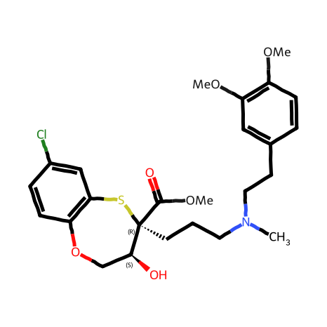 COC(=O)[C@]1(CCCN(C)CCc2ccc(OC)c(OC)c2)Sc2cc(Cl)ccc2OC[C@@H]1O